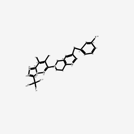 Cc1c(N2CCc3ncc(Cc4cccc(F)c4)cc3C2)nn2c(C(F)(F)F)nnc2c1C